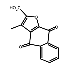 Cc1c(C(=O)O)oc2c1C(=O)c1ccccc1C2=O